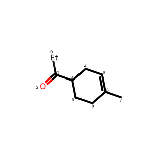 CCC(=O)C1CC=C(C)CC1